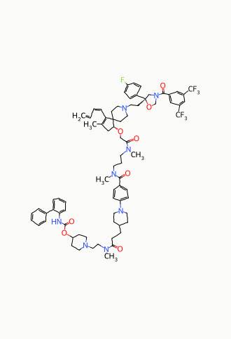 C=C/C=C\C1=C(C)C[C@H](OCC(=O)N(C)CCCN(C)C(=O)c2ccc(N3CCC(CCC(=O)N(C)CCN4CCC(OC(=O)Nc5ccccc5-c5ccccc5)CC4)CC3)cc2)C12CCN(CC[C@@]1(c3ccc(F)cc3)CN(C(=O)c3cc(C(F)(F)F)cc(C(F)(F)F)c3)CO1)CC2